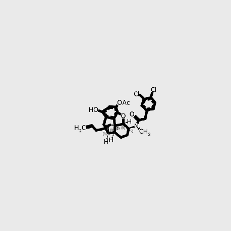 C=CCN1CC[C@]23c4c5c(O)cc(OC(C)=O)c4O[C@H]2[C@@H](N(C)C(=O)Cc2ccc(Cl)c(Cl)c2)CC[C@H]3[C@H]1C5